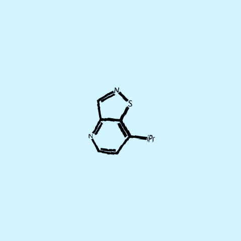 CC(C)c1ccnc2cnsc12